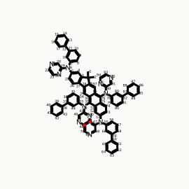 CC1(C)c2cc(N(c3cccc(-c4ccccc4)c3)c3cnccn3)ccc2-c2cc3c(N(c4cccc(-c5ccccc5)c4)c4cnccn4)c4cc(N(c5cccc(-c6ccccc6)c5)c5cnccn5)ccc4c(N(c4cccc(-c5ccccc5)c4)c4cnccn4)c3cc21